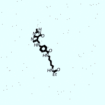 CCC(=O)NCCCCCNC(=O)c1ccc(NCC2=CN=C3N=C(C)NC(=O)C23)cc1